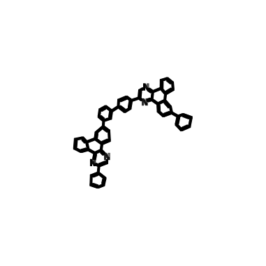 c1ccc(-c2ccc3c(c2)c2ccccc2c2ncc(-c4ccc(-c5cccc(-c6ccc7c(c6)c6ccccc6c6nc(-c8ccccc8)cnc76)c5)cc4)nc32)cc1